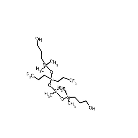 C[Si](C)(CCCO)O[Si](C)(C)O[Si](CCC(F)(F)F)(CCC(F)(F)F)O[Si](C)(C)CCCO